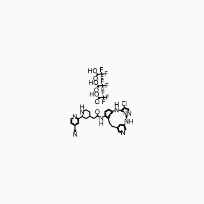 N#Cc1ccnc(C2CC(CC(=O)Nc3ccc4cc3CCc3cncc(c3)Nc3ncc(Cl)c(n3)N4)CCN2)c1.O=C(O)C(F)(F)F.O=C(O)C(F)(F)F.O=C(O)C(F)(F)F